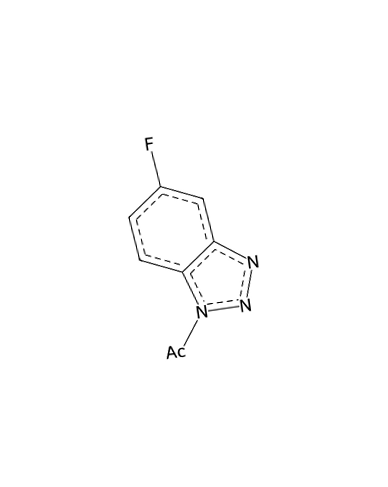 CC(=O)n1nnc2cc(F)ccc21